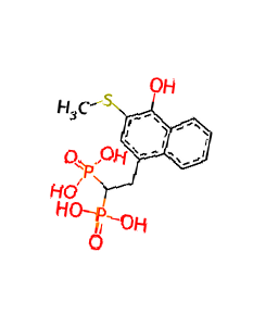 CSc1cc(CC(P(=O)(O)O)P(=O)(O)O)c2ccccc2c1O